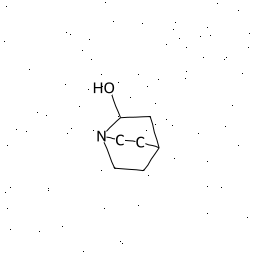 OC1CC2CCN1CC2